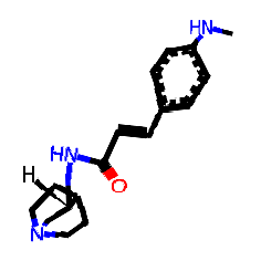 CNc1ccc(/C=C/C(=O)N[C@H]2CN3CCC2CC3)cc1